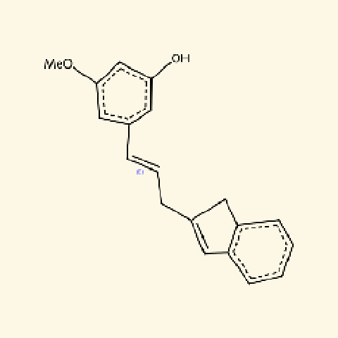 COc1cc(O)cc(/C=C/CC2=Cc3ccccc3C2)c1